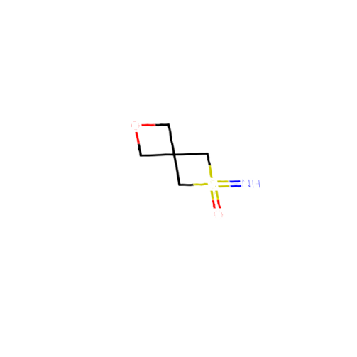 N=S1(=O)CC2(COC2)C1